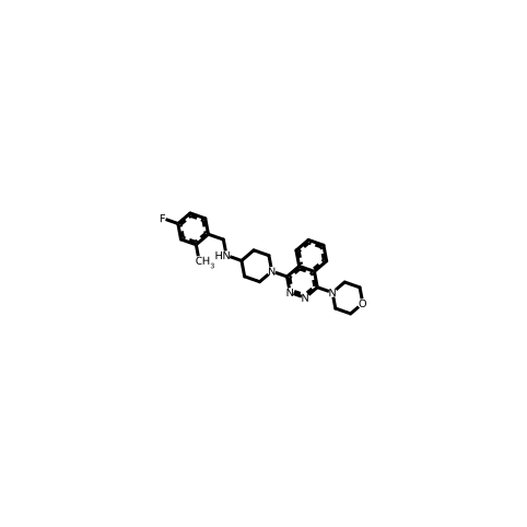 Cc1cc(F)ccc1CNC1CCN(c2nnc(N3CCOCC3)c3ccccc23)CC1